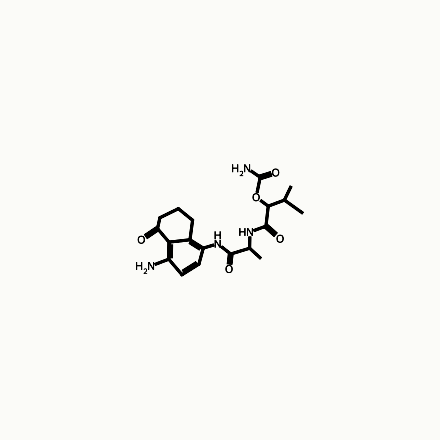 CC(NC(=O)C(OC(N)=O)C(C)C)C(=O)Nc1ccc(N)c2c1CCCC2=O